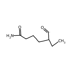 CCC([C]=O)CCCC(N)=O